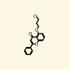 O=c1cc(-c2ccccc2)oc2cccc(OCCCCl)c12